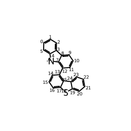 c1ccc2c(c1)[N]c1c-2cccc1-c1cccc2sc3ccccc3c12